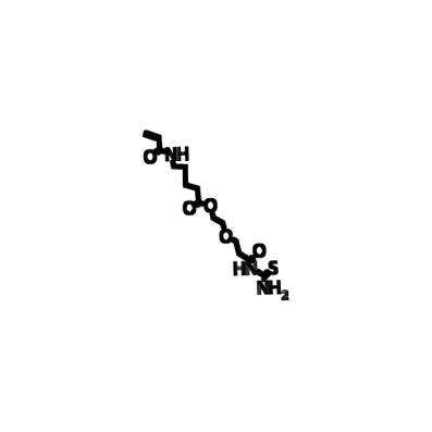 C=CC(=O)NCCCCC(=O)OCCOCCC(=O)NC(N)=S